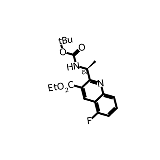 CCOC(=O)c1cc2c(F)cccc2nc1[C@H](C)NC(=O)OC(C)(C)C